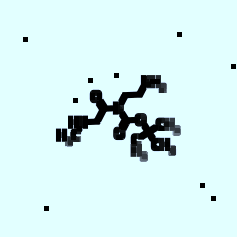 CNCC(=O)N(CCN)C(=O)OC(C)(C)C